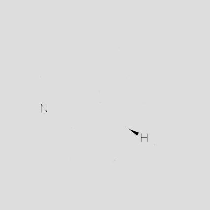 C/N=C1/CC[C@H]2C(C)C(C)[C@]12C